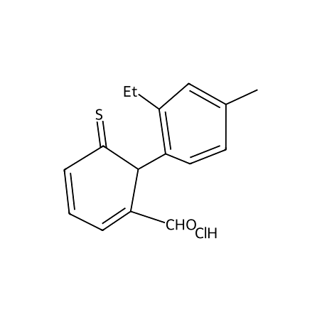 CCc1cc(C)ccc1C1C(=S)C=CC=C1C=O.Cl